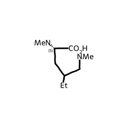 CCC(CNC)C[C@H](NC)C(=O)O